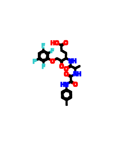 Cc1ccc(NC(=O)C(=O)NC(C)C(=O)NC(CCC(=O)O)C(=O)COc2c(F)c(F)cc(F)c2F)cc1